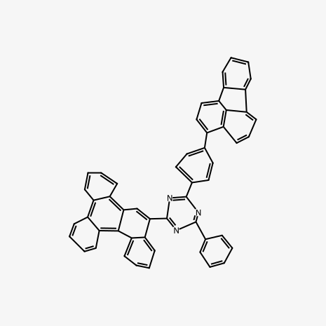 c1ccc(-c2nc(-c3ccc(-c4ccc5c6c(cccc46)-c4ccccc4-5)cc3)nc(-c3cc4c5ccccc5c5ccccc5c4c4ccccc34)n2)cc1